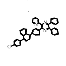 Clc1ccc(-c2ccc(-c3ccc(-c4nc(-c5ccccc5)c(-c5ccccc5)nc4-c4ccccn4)cc3)c3ccccc23)cc1